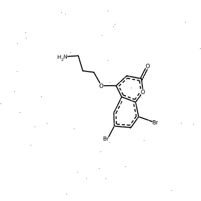 NCCCOc1cc(=O)oc2c(Br)cc(Br)cc12